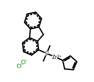 C[Si](C)([Zr+2][C]1=CC=CC1)c1cccc2c1Cc1ccccc1-2.[Cl-].[Cl-]